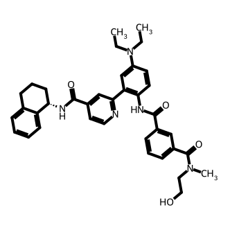 CCN(CC)c1ccc(NC(=O)c2cccc(C(=O)N(C)CCO)c2)c(-c2cc(C(=O)N[C@H]3CCCc4ccccc43)ccn2)c1